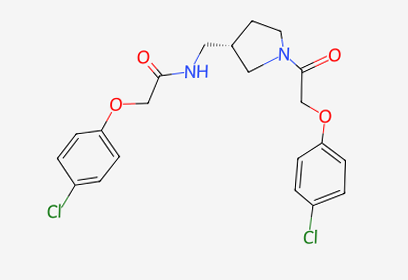 O=C(COc1ccc(Cl)cc1)NC[C@@H]1CCN(C(=O)COc2ccc(Cl)cc2)C1